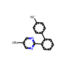 CCCCc1cnc(-c2ccccc2-c2ccc(C#N)cc2)nc1